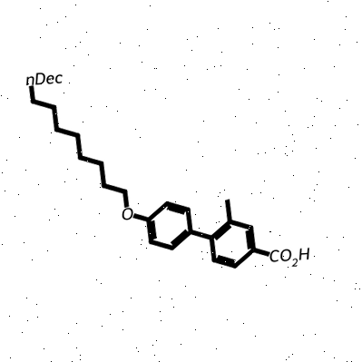 CCCCCCCCCCCCCCCCCCOc1ccc(-c2ccc(C(=O)O)cc2C)cc1